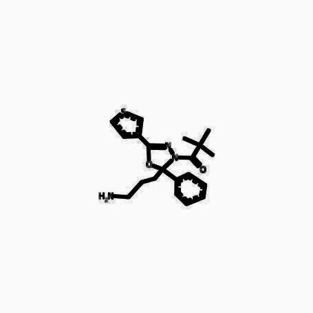 CC(C)(C)C(=O)N1N=C(c2ccsc2)OC1(CCCN)c1ccccc1